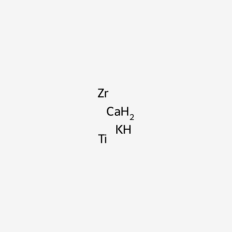 [CaH2].[KH].[Ti].[Zr]